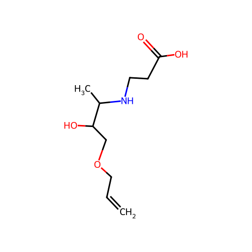 C=CCOCC(O)C(C)NCCC(=O)O